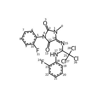 CN1C(=O)N(c2ccccc2F)C(=O)C1=NC(Nc1ccccc1F)C(Cl)(Cl)Cl